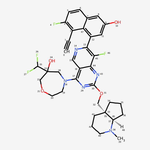 C#Cc1c(F)ccc2cc(O)cc(-c3ncc4c(N5CCOCC(O)(C(F)F)C5)nc(OC[C@]56CCC[C@H]5N(C)CCC6)nc4c3F)c12